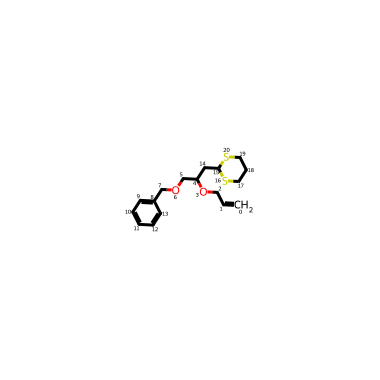 C=CCOC(COCc1ccccc1)CC1SCCCS1